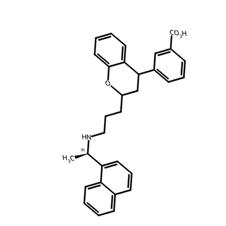 C[C@@H](NCCCC1CC(c2cccc(C(=O)O)c2)c2ccccc2O1)c1cccc2ccccc12